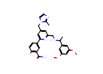 COc1cc(OC)cc(C(C)NCc2cc(Cn3ccnc3C)cc(-c3ccc(F)c(C(N)=O)c3)n2)c1